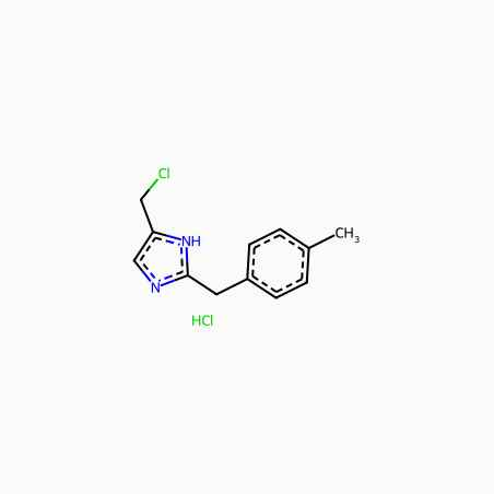 Cc1ccc(Cc2ncc(CCl)[nH]2)cc1.Cl